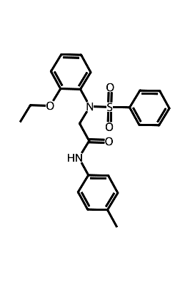 CCOc1ccccc1N(CC(=O)Nc1ccc(C)cc1)S(=O)(=O)c1ccccc1